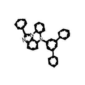 c1ccc(-c2cc(-c3ccccc3)cc(N3c4ccccc4-n4c(-c5ccccc5)nc5cccc3c54)c2)cc1